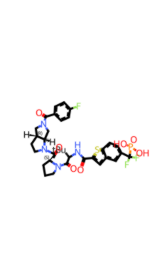 CC(C)(C)C(NC(=O)c1cc2cc(C(F)(F)P(=O)(O)O)ccc2s1)C(=O)N1CCC[C@H]1C(=O)N1CC[C@@H]2CN(C(=O)c3ccc(F)cc3)C[C@@H]21